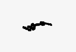 CCCCCCc1ccc(C#Cc2ccc([C@H]3CC[C@H](CCCC)CC3)cc2)nc1